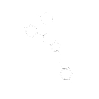 CC1COCCN1c1cnccc1C(=O)Nc1nnc(OCc2ccc(Cl)cn2)s1